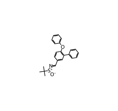 CC(C)(C)[S+]([O-])/N=C/c1ccc(Oc2ccccc2)c(-c2ccccc2)c1